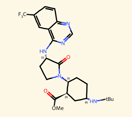 COC(=O)[C@@H]1C[C@H](NC(C)(C)C)CC[C@@H]1N1CC[C@H](Nc2ncnc3ccc(C(F)(F)F)cc23)C1=O